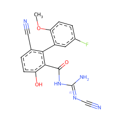 COc1ccc(F)cc1-c1c(C#N)ccc(O)c1C(=O)N/C(N)=N/C#N